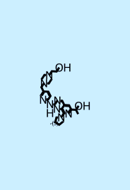 CC(O)c1cc2cnc(Nc3ccc(CN4CCN(CCO)CC4)cn3)nc2c(N2CC[C@H](C)C2)n1